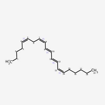 [CH2]CCC/C=C\C\C=C/C=C/C=C/C=C\CCCCC